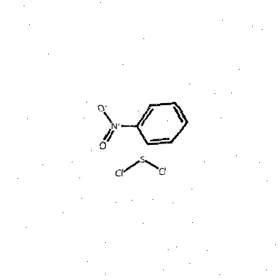 ClSCl.O=[N+]([O-])c1ccccc1